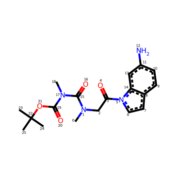 CN(CC(=O)n1ccc2ccc(N)cc21)C(=O)N(C)C(=O)OC(C)(C)C